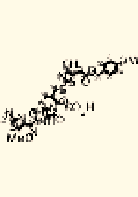 CON=C(C(=O)N[C@@H]1C(=O)N2C(OC(=O)O)=C(CSc3nc(C)c(CC(=O)OCc4ccc(OC)cc4)s3)CS[C@@H]12)c1csc(N)n1